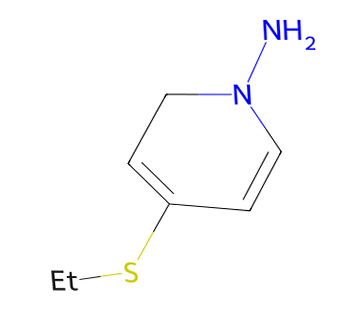 CCSC1=CCN(N)C=C1